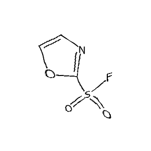 O=S(=O)(F)c1ncco1